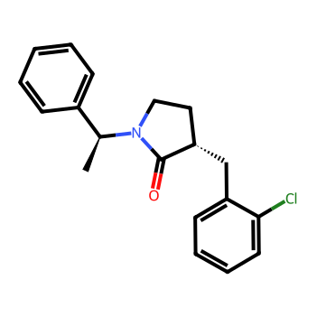 C[C@@H](c1ccccc1)N1CC[C@H](Cc2ccccc2Cl)C1=O